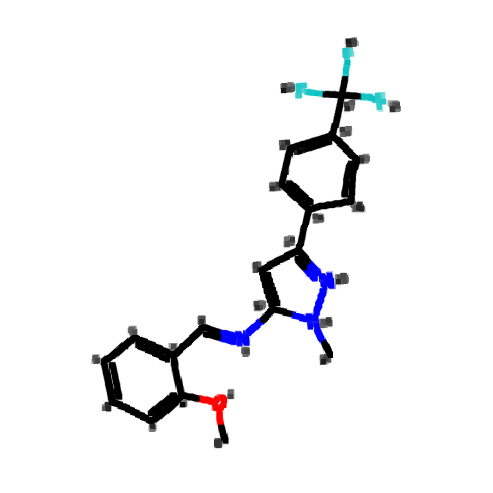 COc1ccccc1/C=N/c1cc(-c2ccc(C(F)(F)F)cc2)nn1C